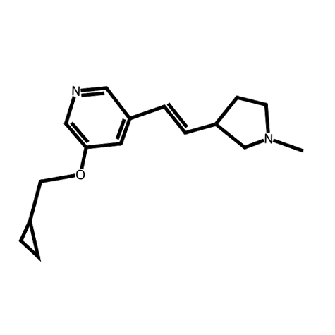 CN1CCC(C=Cc2cncc(OCC3CC3)c2)C1